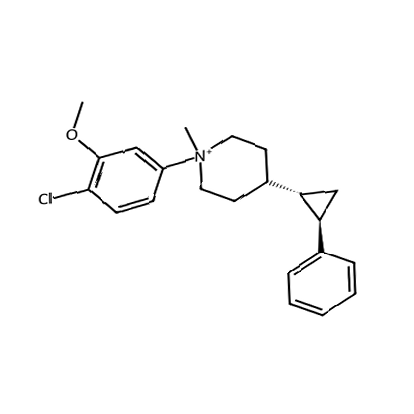 COc1cc([N+]2(C)CCC([C@@H]3C[C@H]3c3ccccc3)CC2)ccc1Cl